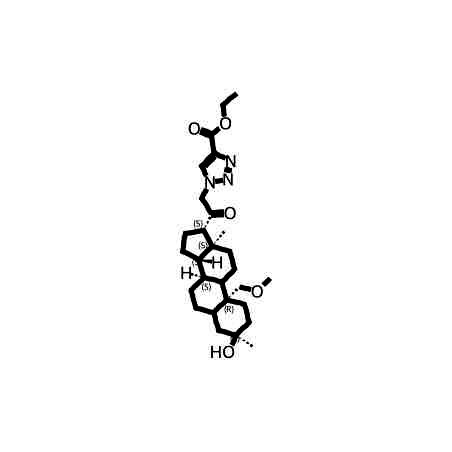 CCOC(=O)c1cn(CC(=O)[C@H]2CC[C@H]3[C@@H]4CCC5C[C@](C)(O)CC[C@]5(COC)C4CC[C@]23C)nn1